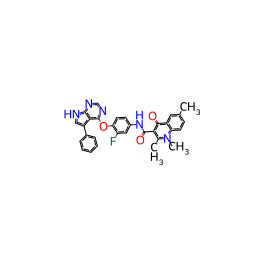 Cc1ccc2c(c1)c(=O)c(C(=O)Nc1ccc(Oc3ncnc4[nH]cc(-c5ccccc5)c34)c(F)c1)c(C)n2C